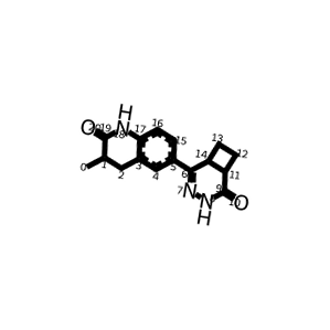 CC1Cc2cc(C3=NNC(=O)C4CCC34)ccc2NC1=O